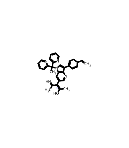 C=CC1C=CC(c2cn(C(C)(c3ccccn3)c3ccccn3)c3cc(/C(C(C)=N)=C(\C)O)cnc23)=CC1